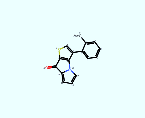 COc1ccccc1-c1csc2c1-n1cccc1C2=O